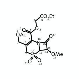 CCOC(=O)COC(=O)C1=C(COC(C)=O)CS(=O)(=O)C2[C@H](OC)C(=O)N12